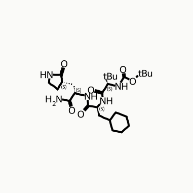 CC(C)(C)OC(=O)N[C@H](C(=O)N[C@@H](CC1CCCCC1)C(=O)N[C@@H](C[C@@H]1CCNC1=O)C(N)=O)C(C)(C)C